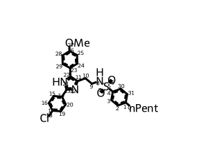 CCCCCc1ccc(S(=O)(=O)NCCc2nc(-c3ccc(Cl)cc3)[nH]c2-c2ccc(OC)cc2)cc1